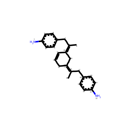 CC(Cc1ccc(N)cc1)=C1C=CCC(=C(C)Cc2ccc(N)cc2)C1